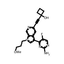 COCCCn1cc(-c2nc(N)ncc2F)c2cc(C#CC3(O)CCC3)ncc21